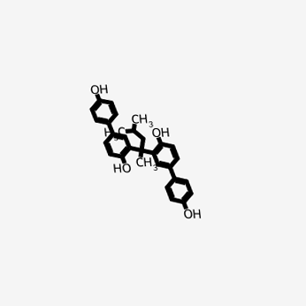 CC(C)CC(C)(c1cc(-c2ccc(O)cc2)ccc1O)c1cc(-c2ccc(O)cc2)ccc1O